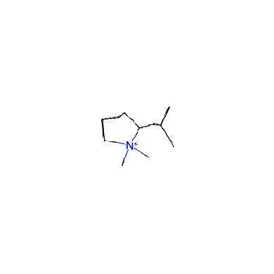 CC(C)C1CCC[N+]1(C)C